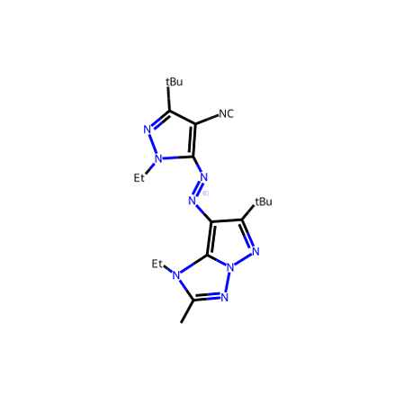 [C-]#[N+]c1c(C(C)(C)C)nn(CC)c1/N=N/c1c(C(C)(C)C)nn2nc(C)n(CC)c12